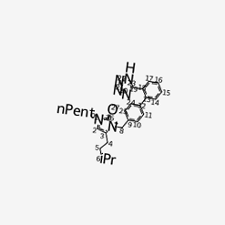 CCCCCn1cc(CCC(C)C)n(Cc2ccc(-c3ccccc3-c3nnn[nH]3)cc2)c1=O